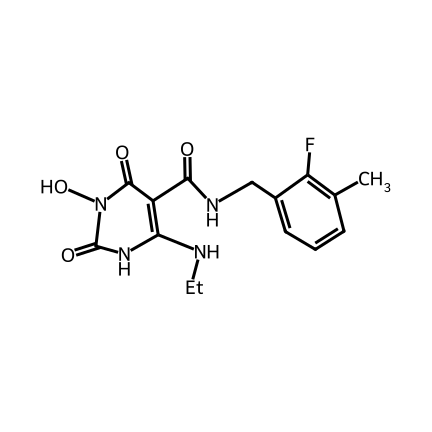 CCNc1[nH]c(=O)n(O)c(=O)c1C(=O)NCc1cccc(C)c1F